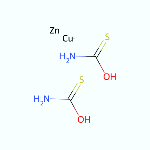 NC(O)=S.NC(O)=S.[Cu].[Zn]